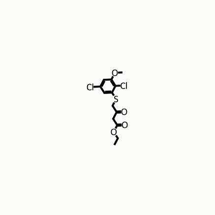 CCOC(=O)CC(=O)CSc1cc(Cl)cc(OC)c1Cl